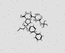 CCCS(=O)(=O)[C@@]1(c2ccc(-c3ccccc3)cc2)C[C@@H](C(=O)O)N(C(=O)C(N)NC(=O)OC(C)(C)C)C1